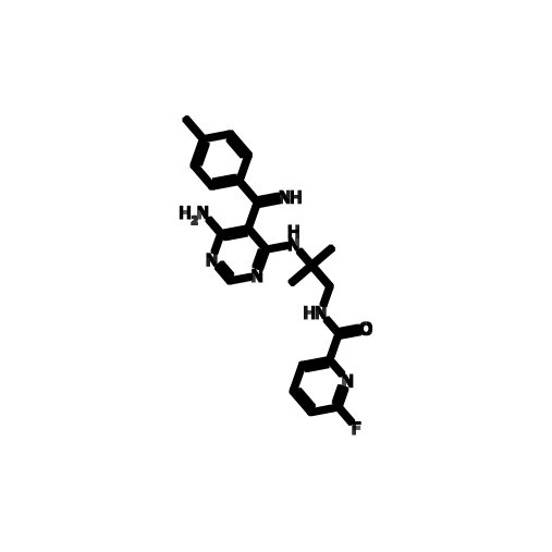 Cc1ccc(C(=N)c2c(N)ncnc2NC(C)(C)CNC(=O)c2cccc(F)n2)cc1